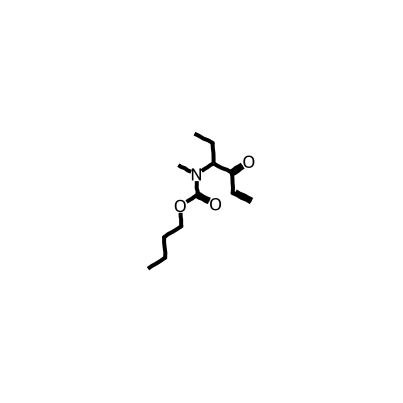 C=CC(=O)C(CC)N(C)C(=O)OCCCC